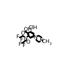 CN1CCN(c2ccc(C(=O)O)c(N(CCF)C(=O)C(F)(F)F)c2)CC1.Cl